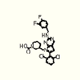 O=C(O)N1CCCC(Cn2c(-c3c(Cl)cccc3Cl)cc3cnc(NCc4ccc(F)c(F)c4)nc32)C1